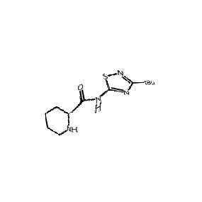 CC(C)(C)c1nsc(NC(=O)[C@@H]2CCCCN2)n1